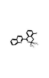 CC1(C)Cc2c(F)cccc2C(c2ccc3ccccc3n2)=N1